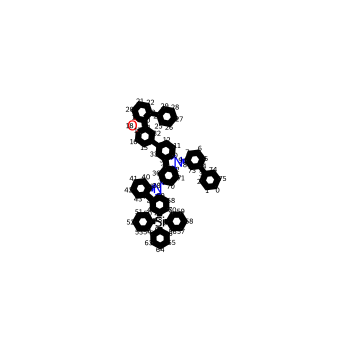 c1ccc(-c2cccc(-n3c4ccc(-c5ccc6oc7cccc(-c8ccccc8)c7c6c5)cc4c4cc(-n5c6ccccc6c6cc([Si](c7ccccc7)(c7ccccc7)c7ccccc7)ccc65)ccc43)c2)cc1